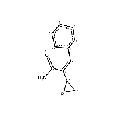 NC(=O)C(=Cc1ccccc1)C1CC1